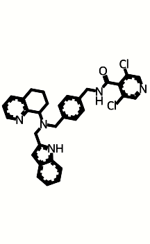 O=C(NCc1ccc(CN(Cc2cc3ccccc3[nH]2)C2CCCc3cccnc32)cc1)c1c(Cl)cncc1Cl